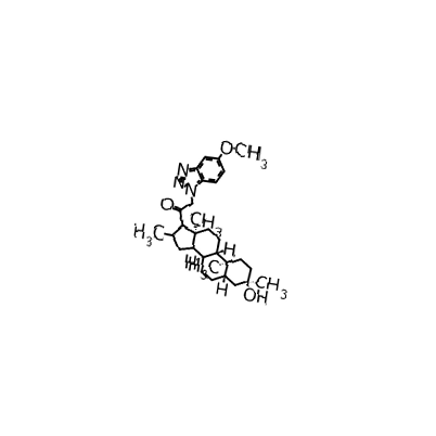 COc1ccc2c(c1)nnn2CC(=O)C1C(C)CC2[C@@H]3CC[C@H]4C[C@](C)(O)CC[C@]4(C)[C@H]3CC[C@]12C